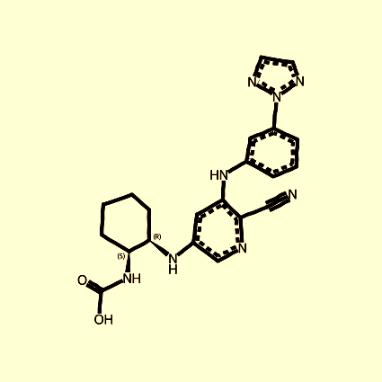 N#Cc1ncc(N[C@@H]2CCCC[C@@H]2NC(=O)O)cc1Nc1cccc(-n2nccn2)c1